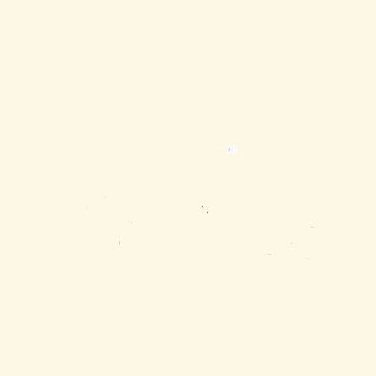 C/C=C/c1ccc(C(F)(F)F)cc1N1CCC(C(=O)OC(C)(C)C)CC1